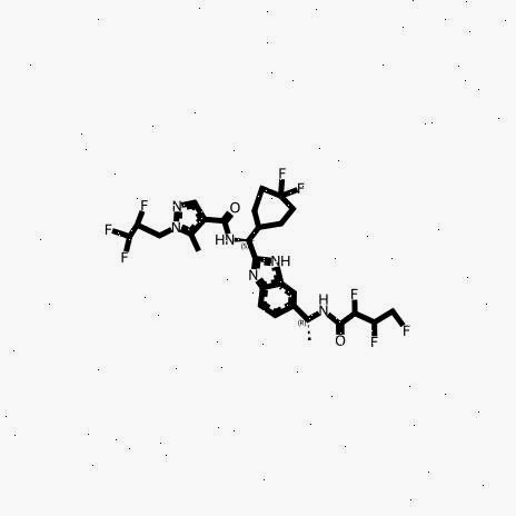 Cc1c(C(=O)N[C@H](c2nc3ccc([C@@H](C)NC(=O)C(F)C(F)CF)cc3[nH]2)C2CCC(F)(F)CC2)cnn1CC(F)C(F)F